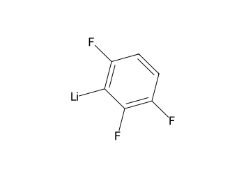 [Li][c]1c(F)ccc(F)c1F